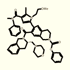 COCCn1c(-c2cc3c(cc2C(=O)N2Cc4ccccc4C[C@H]2CN2CCOCC2)CN(C(=O)Oc2ccccc2)CC3)cc(C(=O)N(C)c2ccccc2)c1C